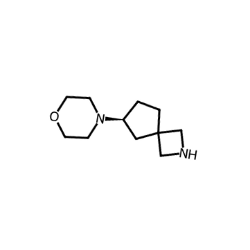 C1CN([C@H]2CCC3(CNC3)C2)CCO1